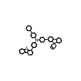 c1ccc(-c2ccc(N(c3ccc(-c4ccc5c(c4)C4(CC6CCC4C6)c4ccccc4-5)cc3)c3ccc(-c4cccc5c4sc4ccccc45)cc3)cc2)cc1